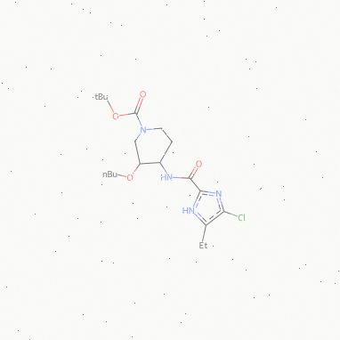 CCCCOC1CN(C(=O)OC(C)(C)C)CCC1NC(=O)c1nc(Cl)c(CC)[nH]1